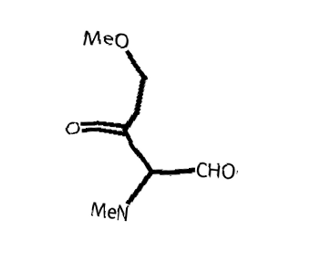 CNC([C]=O)C(=O)COC